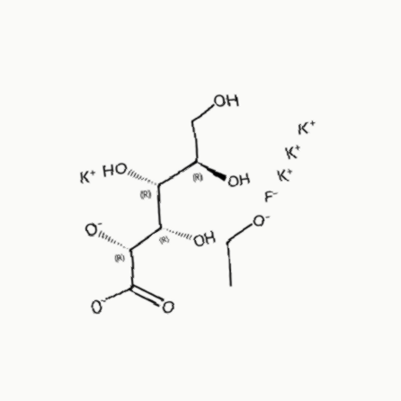 CC[O-].O=C([O-])[C@H]([O-])[C@@H](O)[C@H](O)[C@H](O)CO.[F-].[K+].[K+].[K+].[K+]